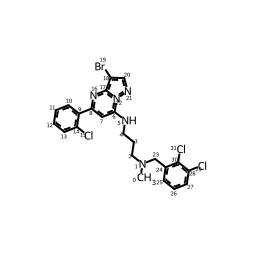 CN(CCCNc1cc(-c2ccccc2Cl)nc2c(Br)cnn12)Cc1cccc(Cl)c1Cl